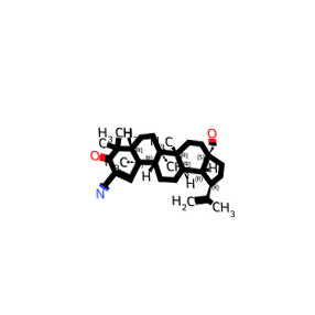 C=C(C)[C@@H]1CC[C@]2(C=O)CC[C@]3(C)[C@H](CC[C@@H]4[C@@]5(C)C=C(C#N)C(=O)C(C)(C)[C@@H]5CC[C@]43C)[C@@H]12